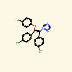 Clc1ccc(O/C(=C(/c2ccc(Cl)cc2)n2cncn2)c2ccc(Cl)cc2)cc1